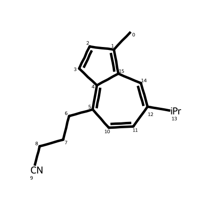 Cc1ccc2c(CCCC#N)ccc(C(C)C)cc1-2